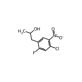 CC(O)Cc1cc([N+](=O)[O-])c(Cl)cc1F